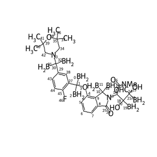 BC(B)(Oc1cccc2c1C(B)(B)N(C(C(=O)NC)C(B)(O)C(B)(O)C=O)C2=O)c1cc(C(B)(B)N2CC(C)(C)OC(C)(C)C2)ccc1F